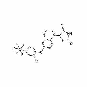 O=C1NC(=O)C([C@@H]2CCOc3cc(Oc4ccc(S(F)(F)(F)(F)F)cc4Cl)ccc32)S1